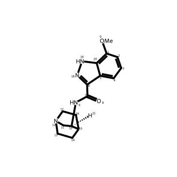 COc1cccc2c(C(=O)N[C@@H]3CN4CCC3CC4)n[nH]c12